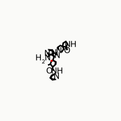 CC1C=C(c2nc(N3CCC4(CCNC4=O)CC3)n3ccnc(N)c23)C=CC1C(=O)Nc1ccccn1